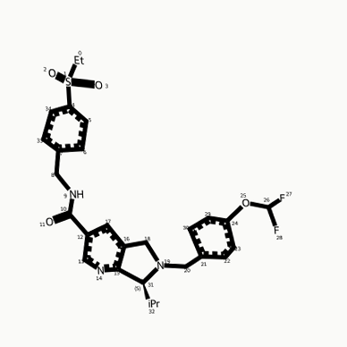 CCS(=O)(=O)c1ccc(CNC(=O)c2cnc3c(c2)CN(Cc2ccc(OC(F)F)cc2)[C@H]3C(C)C)cc1